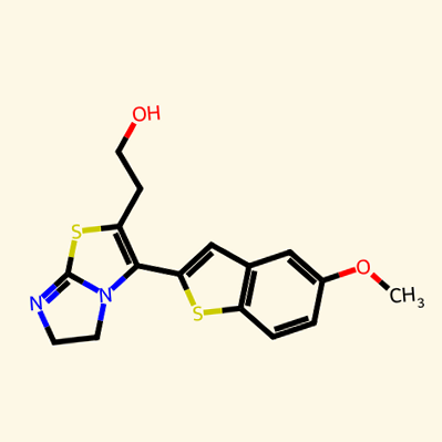 COc1ccc2sc(C3=C(CCO)SC4=NCCN43)cc2c1